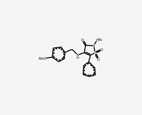 CCCCN1C(=O)C(NCc2ccc(OC)cc2)=C(c2ccccc2)S1(=O)=O